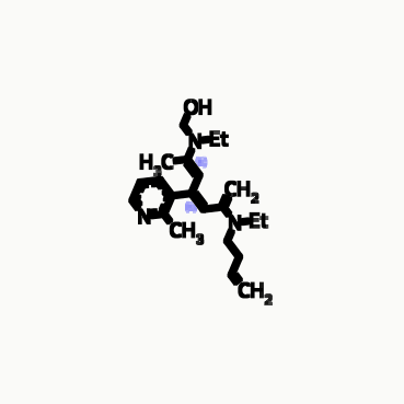 C=CCCN(CC)C(=C)/C=C(\C=C(/C)N(CC)CO)c1cccnc1C